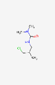 CC(CCl)CNC(=O)N(C)C